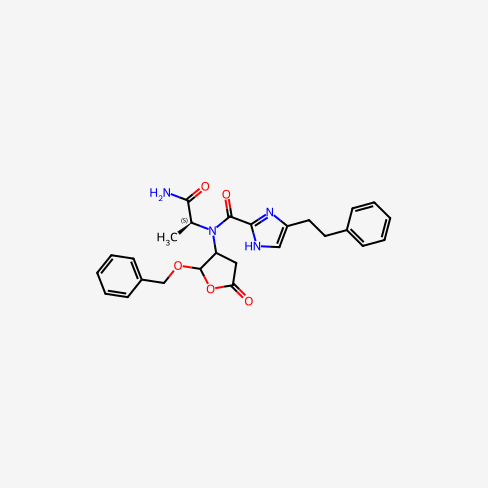 C[C@@H](C(N)=O)N(C(=O)c1nc(CCc2ccccc2)c[nH]1)C1CC(=O)OC1OCc1ccccc1